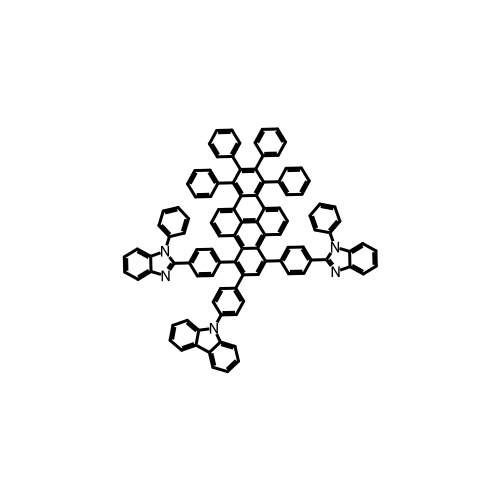 c1ccc(-c2c(-c3ccccc3)c(-c3ccccc3)c3c4cccc5c6c(-c7ccc(-c8nc9ccccc9n8-c8ccccc8)cc7)c(-c7ccc(-n8c9ccccc9c9ccccc98)cc7)cc(-c7ccc(-c8nc9ccccc9n8-c8ccccc8)cc7)c6c6cccc(c3c2-c2ccccc2)c6c54)cc1